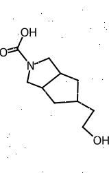 O=C(O)N1CC2CC(CCO)CC2C1